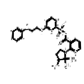 CC1CCN(c2ncccc2C(=O)NS(=O)(=O)c2cccc(NCCOc3ccccc3)n2)C1(C)C